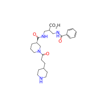 O=C(NCC(CNC(=O)[C@@H]1CCCN(C(=O)CCC2CCNCC2)C1)C(=O)O)c1ccccc1